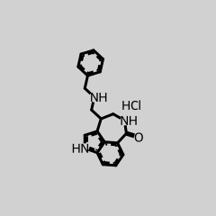 Cl.O=C1NCC(CNCc2ccccc2)c2c[nH]c3cccc1c23